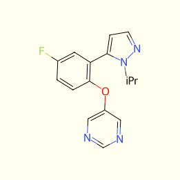 CC(C)n1nccc1-c1cc(F)ccc1Oc1cncnc1